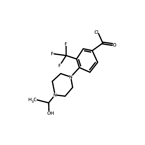 CC(O)N1CCN(c2ccc(C(=O)Cl)cc2C(F)(F)F)CC1